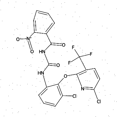 O=C(NC(=O)c1ccccc1[N+](=O)[O-])Nc1cccc(Cl)c1Oc1nc(Cl)ccc1C(F)(F)F